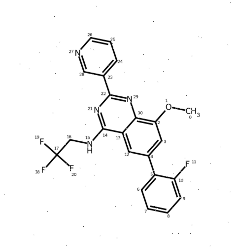 COc1cc(-c2ccccc2F)cc2c(NCC(F)(F)F)nc(-c3cccnc3)nc12